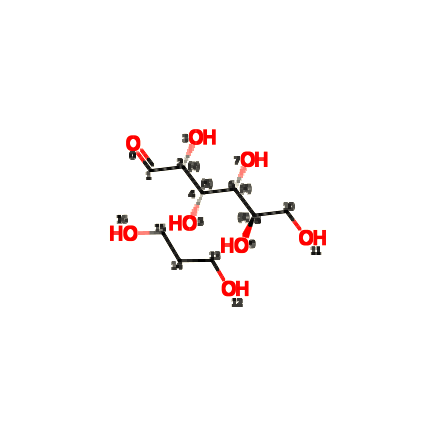 O=C[C@H](O)[C@@H](O)[C@H](O)[C@H](O)CO.OCCCO